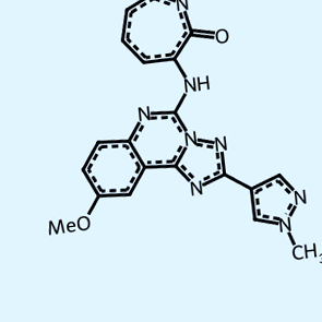 COc1ccc2nc(Nc3ccccnc3=O)n3nc(-c4cnn(C)c4)nc3c2c1